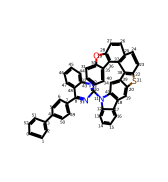 c1ccc(-c2ccc(-c3nc(-n4c5ccccc5c5cc6sc7ccc8ccc9oc%10ccccc%10c9c8c7c6cc54)nc4ccccc34)cc2)cc1